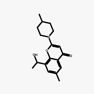 Cc1cc(C(C)O)c2oc(N3CCC(C)CC3)cc(=O)c2c1